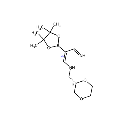 CC1(C)OB(/C(C=N)=C/NC[C@H]2COCCO2)OC1(C)C